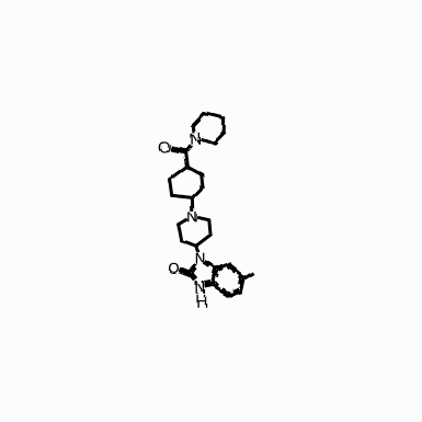 Cc1ccc2[nH]c(=O)n(C3CCN(C4CCC(C(=O)N5CCCCC5)CC4)CC3)c2c1